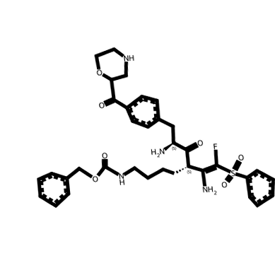 NC(=C(F)S(=O)(=O)c1ccccc1)[C@H](CCCCNC(=O)OCc1ccccc1)C(=O)[C@@H](N)Cc1ccc(C(=O)C2CNCCO2)cc1